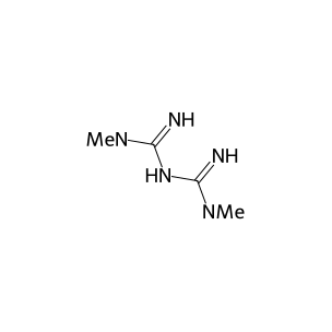 CNC(=N)NC(=N)NC